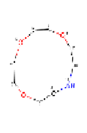 C1COCCOCCOCCN1